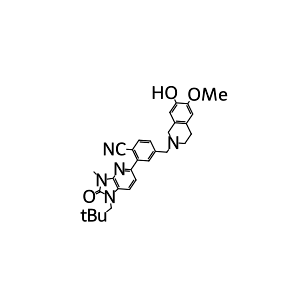 COc1cc2c(cc1O)CN(Cc1ccc(C#N)c(-c3ccc4c(n3)n(C)c(=O)n4CC(C)(C)C)c1)CC2